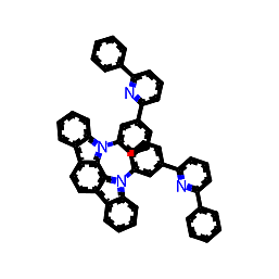 c1ccc(-c2cccc(-c3cccc(-n4c5ccccc5c5ccc6c7ccccc7n(-c7cccc(-c8cccc(-c9ccccc9)n8)c7)c6c54)c3)n2)cc1